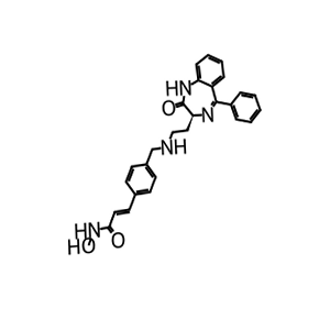 O=C(/C=C/c1ccc(CNCC[C@@H]2N=C(c3ccccc3)c3ccccc3NC2=O)cc1)NO